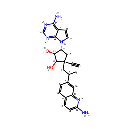 C#C[C@]1(CC(C)c2ccc3ccc(N)nc3c2)C[C@@H](n2ccc3c(N)ncnc32)[C@H](O)[C@@H]1O